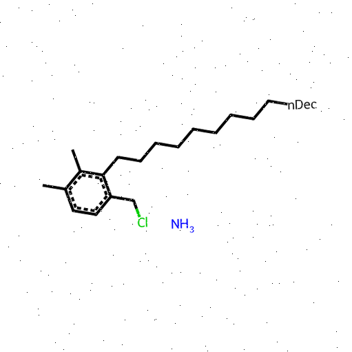 CCCCCCCCCCCCCCCCCCCc1c(CCl)ccc(C)c1C.N